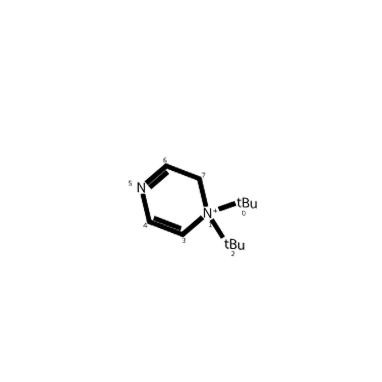 CC(C)(C)[N+]1(C(C)(C)C)C=CN=CC1